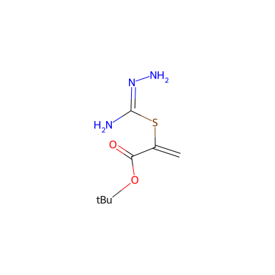 C=C(S/C(N)=N\N)C(=O)OC(C)(C)C